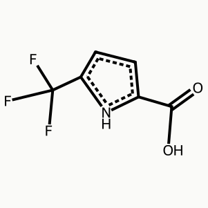 O=C(O)c1ccc(C(F)(F)F)[nH]1